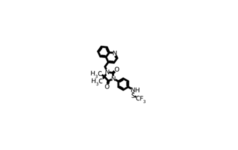 CC1(C)C(=O)N(c2ccc(NSC(F)(F)F)cc2)C(=O)N1Cc1ccnc2ccccc12